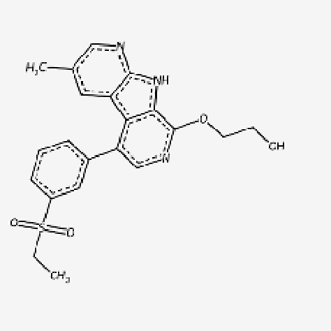 CCS(=O)(=O)c1cccc(-c2cnc(OCCO)c3[nH]c4ncc(C)cc4c23)c1